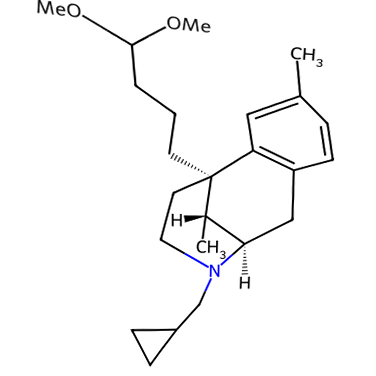 COC(CCC[C@]12CCN(CC3CC3)[C@H](Cc3ccc(C)cc31)[C@@H]2C)OC